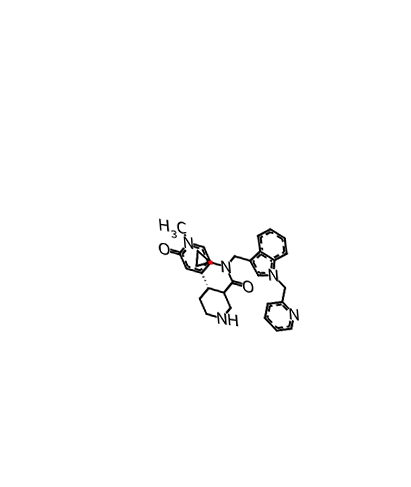 Cn1ccc([C@H]2CCNCC2C(=O)N(Cc2cn(Cc3ccccn3)c3ccccc23)C2CC2)cc1=O